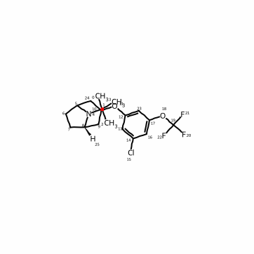 CC(C)(C)N1C2CC[C@H]1CC(Oc1cc(Cl)cc(OC(F)(F)F)c1)C2